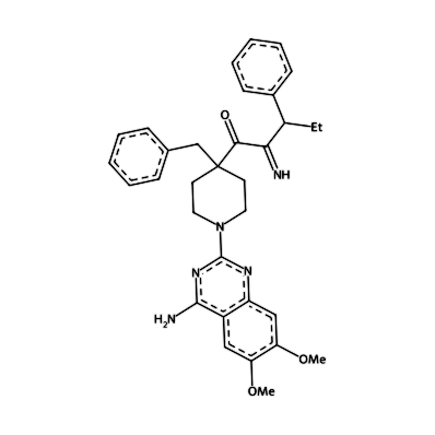 CCC(C(=N)C(=O)C1(Cc2ccccc2)CCN(c2nc(N)c3cc(OC)c(OC)cc3n2)CC1)c1ccccc1